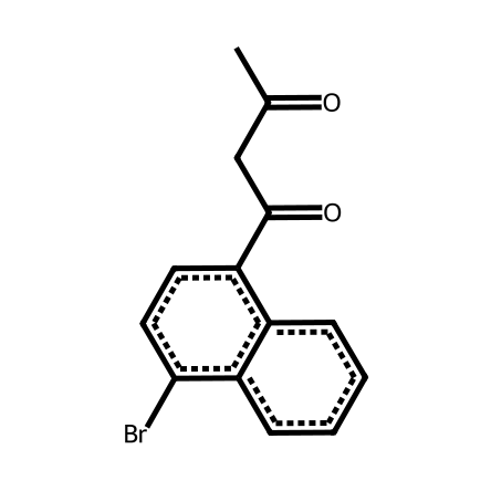 CC(=O)CC(=O)c1ccc(Br)c2ccccc12